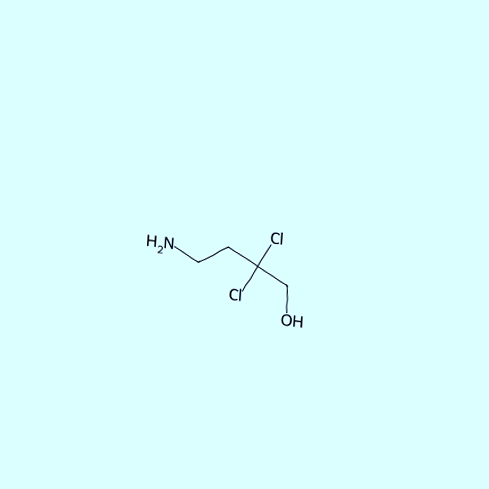 NCCC(Cl)(Cl)CO